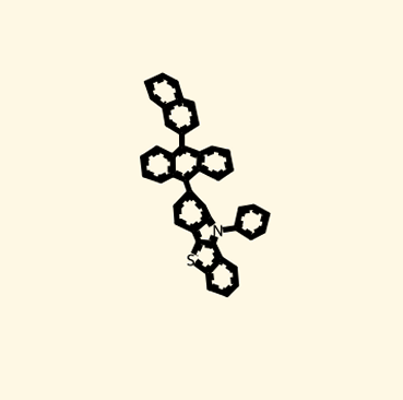 c1ccc(-n2c3cc(-c4c5ccccc5c(-c5ccc6ccccc6c5)c5ccccc45)ccc3c3sc4ccccc4c32)cc1